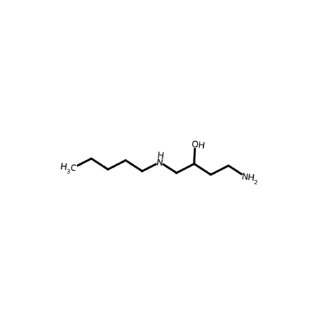 CCCCCNCC(O)CCN